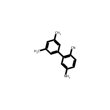 Cc1cc(C)cc(-c2cc(N)ccc2C#N)c1